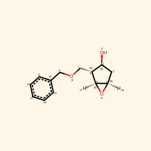 O[C@H]1C[C@H]2O[C@H]2[C@@H]1COCc1ccccc1